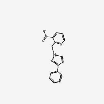 O=[N+]([O-])c1cccnc1Cn1ccc(-c2ccccc2)n1